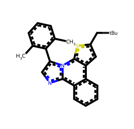 Cc1cccc(C)c1-c1cnc2c3ccccc3c3cc(CC(C)(C)C)sc3n12